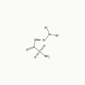 CCN(CC)CC.COC(=O)S(N)(=O)=O